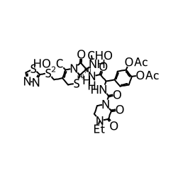 CCN1CCN(C(=O)NC(C(=O)N[C@]2(NC=O)C(=O)N3C(C(=O)O)=C(CSc4nncs4)CS[C@@H]32)c2ccc(OC(C)=O)c(OC(C)=O)c2)C(=O)C1=O